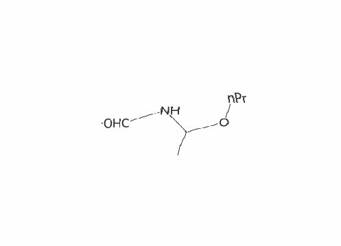 CCCOC(C)N[C]=O